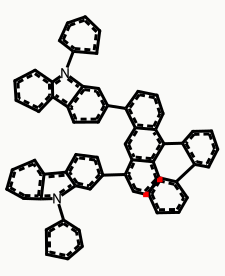 c1ccc(-c2ccccc2-c2c3cccc(-c4ccc5c6ccccc6n(-c6ccccc6)c5c4)c3cc3c(-c4ccc5c6ccccc6n(-c6ccccc6)c5c4)cccc23)cc1